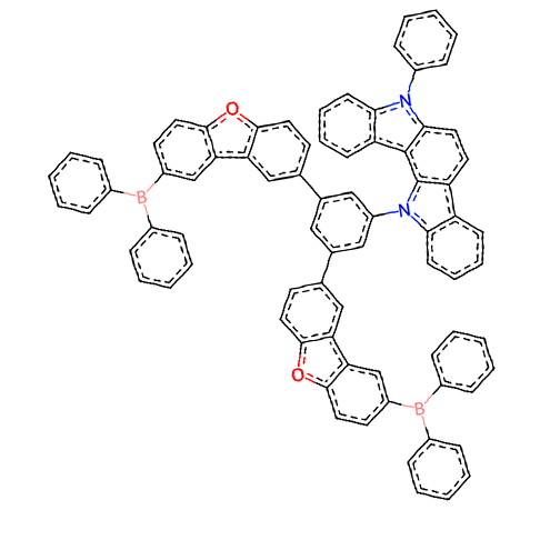 c1ccc(B(c2ccccc2)c2ccc3oc4ccc(-c5cc(-c6ccc7oc8ccc(B(c9ccccc9)c9ccccc9)cc8c7c6)cc(-n6c7ccccc7c7ccc8c(c9ccccc9n8-c8ccccc8)c76)c5)cc4c3c2)cc1